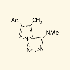 CNc1ncnn2cc(C(C)=O)c(C)c12